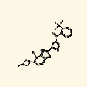 O=C(c1c[nH]c(-c2nc3cnc(N4CC(O)C4)c(F)c3[nH]2)c1)c1ccccc1C(F)(F)F